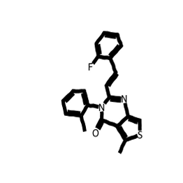 Cc1ccccc1-n1c(C=Cc2ccccc2F)nc2csc(C)c2c1=O